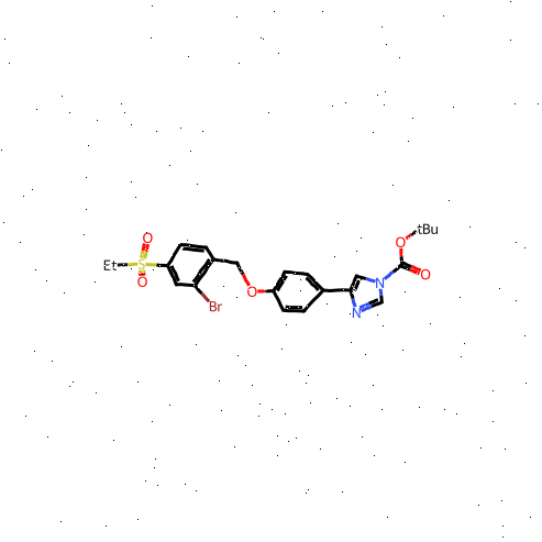 CCS(=O)(=O)c1ccc(COc2ccc(-c3cn(C(=O)OC(C)(C)C)cn3)cc2)c(Br)c1